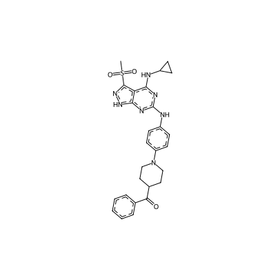 CS(=O)(=O)c1n[nH]c2nc(Nc3ccc(N4CCC(C(=O)c5ccccc5)CC4)cc3)nc(NC3CC3)c12